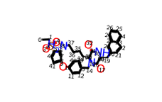 CCS(=O)(=O)c1ccc(Oc2ccc(CN3C(=O)[C@H](Cc4ccc5ccccc5c4)NC(=O)[C@@H]3CCCCN)cc2)cc1